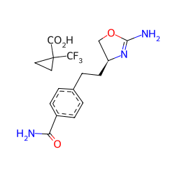 NC(=O)c1ccc(CC[C@H]2COC(N)=N2)cc1.O=C(O)C1(C(F)(F)F)CC1